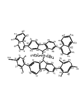 CCC[CH2][Hf]([CH2]CCC)([CH]1c2cc(-c3c(C)cc(C)cc3C)ccc2-c2ccc(-c3c(C)cc(C)cc3C)cc21)[CH]1c2cc(-c3cccc4ccccc34)ccc2-c2ccc(-c3cccc4ccccc34)cc21